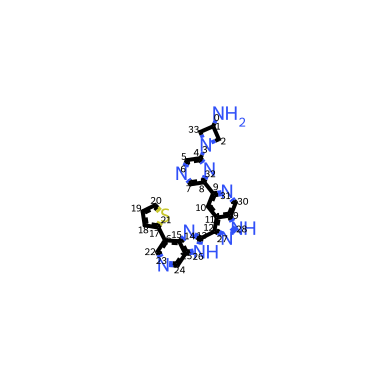 NC1CN(c2cncc(-c3cc4c(-c5nc6c(-c7cccs7)cncc6[nH]5)n[nH]c4cn3)n2)C1